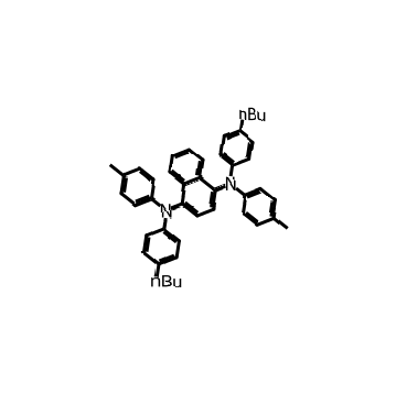 CCCCc1ccc(N(c2ccc(C)cc2)c2ccc(N(c3ccc(C)cc3)c3ccc(CCCC)cc3)c3ccccc23)cc1